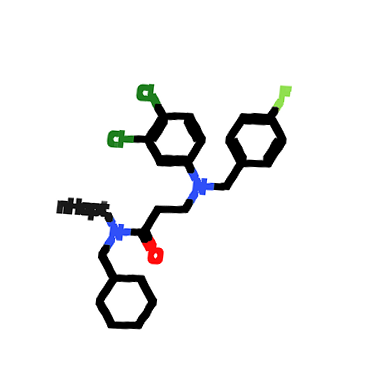 CCCCCCCN(CC1CCCCC1)C(=O)CCN(Cc1ccc(F)cc1)c1ccc(Cl)c(Cl)c1